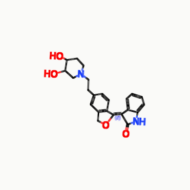 O=C1Nc2ccccc2/C1=C1/OCc2cc(CCN3CCC(O)C(O)C3)ccc21